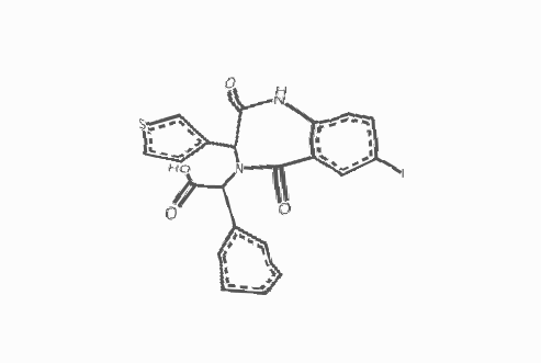 O=C(O)C(c1ccccc1)N1C(=O)c2cc(I)ccc2NC(=O)C1c1ccsc1